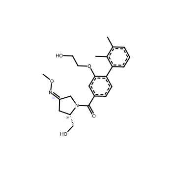 CO/N=C1/C[C@@H](CO)N(C(=O)c2ccc(-c3cccc(C)c3C)c(OCCO)c2)C1